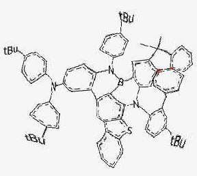 CC(C)(C)c1ccc(N2B3c4cc5c(cc4N(c4ccc(C(C)(C)C)cc4-c4ccccc4)c4c3c(cc3c4sc4ccccc43)-c3cc(N(c4ccc(C(C)(C)C)cc4)c4ccc(C(C)(C)C)cc4)ccc32)-c2ccccc2C5(C)C)cc1